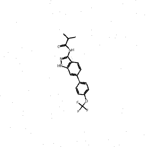 CC(C)C(=O)Nc1n[nH]c2cc(-c3ccc(OC(F)(F)F)cc3)ccc12